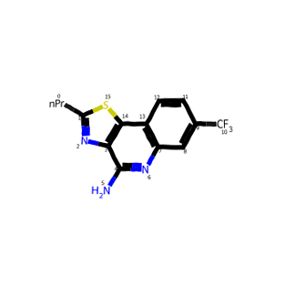 CCCc1nc2c(N)nc3cc(C(F)(F)F)ccc3c2s1